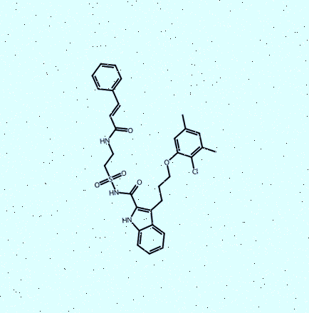 Cc1cc(C)c(Cl)c(OCCCc2c(C(=O)NS(=O)(=O)CCNC(=O)C=Cc3ccccc3)[nH]c3ccccc23)c1